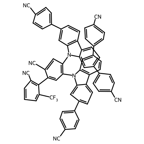 N#Cc1ccc(-c2ccc3c4ccc(-c5ccc(C#N)cc5)cc4n(-c4cc(C#N)c(-c5c(C#N)cccc5C(F)(F)F)cc4-n4c5cc(-c6ccc(C#N)cc6)ccc5c5ccc(-c6ccc(C#N)cc6)cc54)c3c2)cc1